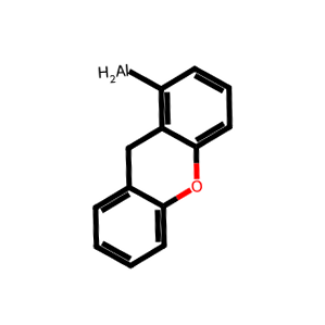 [AlH2][c]1cccc2c1Cc1ccccc1O2